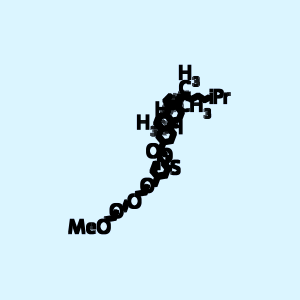 COCCOCCOCCOCc1ccn(OC(=O)C2CC[C@@]3(C)C(=CC[C@H]4[C@@H]5CC[C@H]([C@H](C)CCCC(C)C)[C@@]5(C)CC[C@@H]43)C2)c(=S)c1